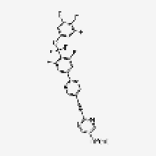 CCCCCc1cnc(C#Cc2ccc(-c3cc(F)c(C(F)(F)Oc4cc(F)c(F)c(F)c4)c(F)c3)cc2)nc1